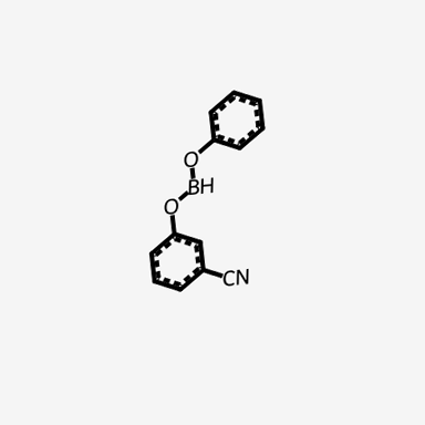 N#Cc1cccc(OBOc2ccccc2)c1